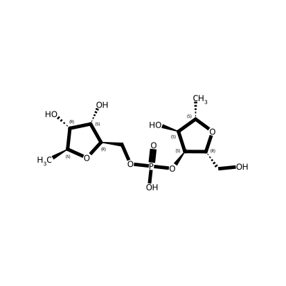 C[C@@H]1O[C@H](COP(=O)(O)O[C@H]2[C@@H](O)[C@H](C)O[C@@H]2CO)[C@@H](O)[C@H]1O